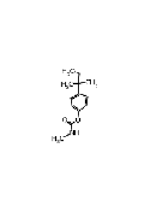 CCC(C)(C)c1ccc(OC(=O)NC)cc1